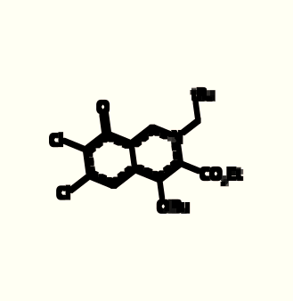 CCOC(=O)c1c(OCC(C)C)c2cc(Cl)c(Cl)c(=O)c-2cn1CC(C)(C)C